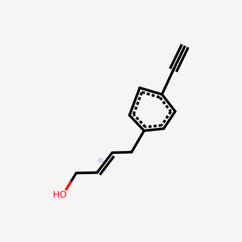 C#Cc1ccc(C/C=C/CO)cc1